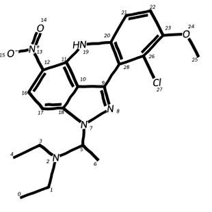 CCN(CC)C(C)n1nc2c3c(c([N+](=O)[O-])ccc31)Nc1ccc(OC)c(Cl)c1-2